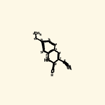 CSc1ccc2cc(C#N)c(=O)[nH]c2c1